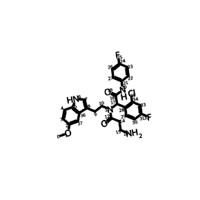 COc1ccc2[nH]cc(CCN(C(=O)CCN)C(C(=O)Nc3ccc(F)cc3)c3ccc(F)cc3Cl)c2c1